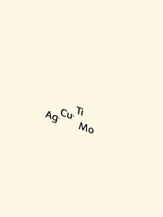 [Ag].[Cu].[Mo].[Ti]